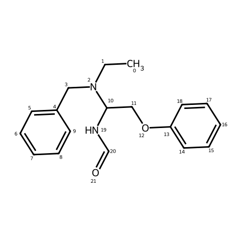 CCN(Cc1ccccc1)C(COc1ccccc1)NC=O